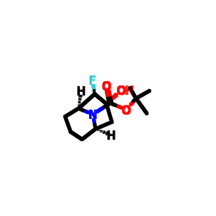 CC(C)(C)OC(=O)N1[C@@H]2CCC[C@H]1[C@@H](F)[C@@H](O)C2